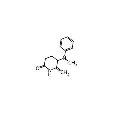 C=C1NC(=O)CCC1N(C)c1ccccc1